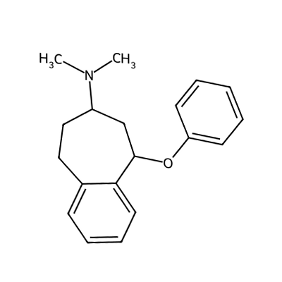 CN(C)C1CCc2ccccc2C(Oc2ccccc2)C1